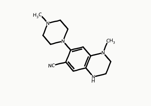 CN1CCN(c2cc3c(cc2C#N)NCCN3C)CC1